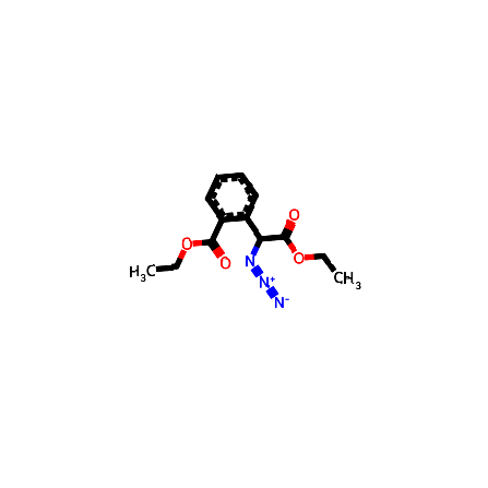 CCOC(=O)c1ccccc1C(N=[N+]=[N-])C(=O)OCC